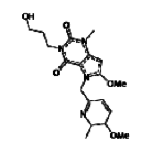 COc1cc2c(c(=O)n(CCCO)c(=O)n2C)n1CC1=NC(C)C(OC)C=C1